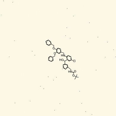 CC(C)(C)OC(=O)NCc1cccc(C(O)c2cc(Cl)ccc2NCc2ccc(OCc3ccccc3)c(OCc3ccccc3)c2)c1